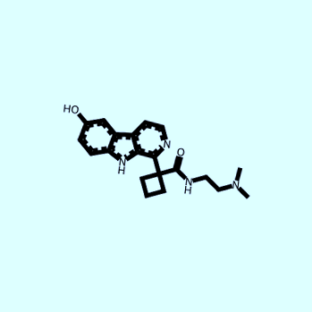 CN(C)CCNC(=O)C1(c2nccc3c2[nH]c2ccc(O)cc23)CCC1